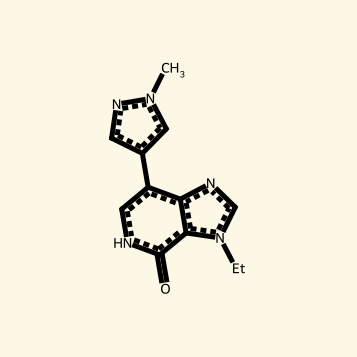 CCn1cnc2c(-c3cnn(C)c3)c[nH]c(=O)c21